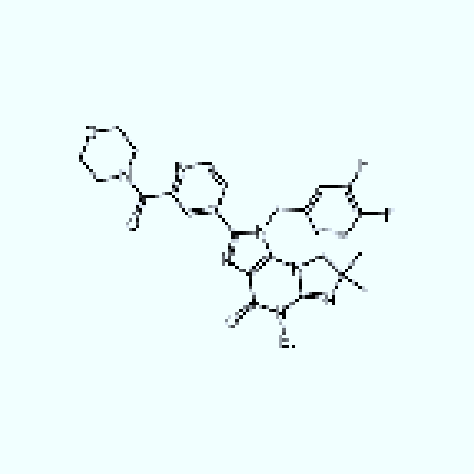 CCN1C(=O)c2nc(-c3ccnc(C(=O)N4CCOCC4)c3)n(Cc3ccc(F)c(F)c3)c2N2CC(C)(C)N=C12